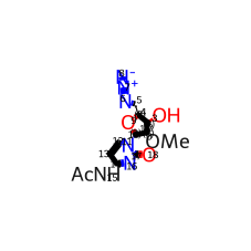 CO[C@@H]1[C@H](O)[C@@H](CN=[N+]=[N-])O[C@H]1n1ccc(NC(C)=O)nc1=O